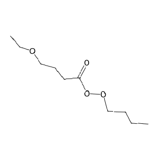 CCCCOOC(=O)CCCOCC